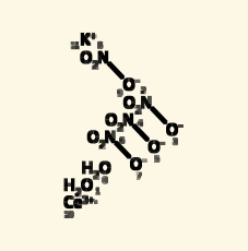 O.O.O=[N+]([O-])[O-].O=[N+]([O-])[O-].O=[N+]([O-])[O-].O=[N+]([O-])[O-].[Ce+3].[K+]